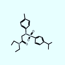 CCN(CC)C(=O)CN(c1ccc(C)cc1)S(=O)(=O)c1ccc(C(C)C)cc1